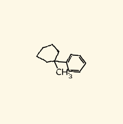 CC1(c2[c]cccc2)CCCCC1